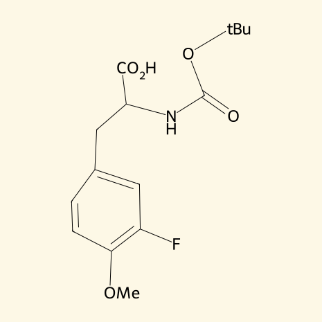 COc1ccc(CC(NC(=O)OC(C)(C)C)C(=O)O)cc1F